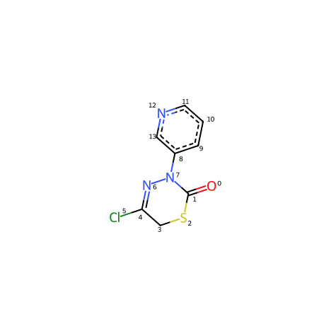 O=C1SCC(Cl)=NN1c1cccnc1